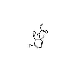 C=CC(=O)OC1(F)C=CC=C(F)C1C=O